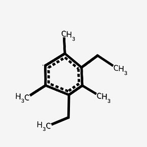 CCc1c(C)[c]c(C)c(CC)c1C